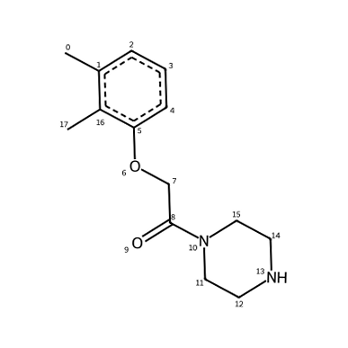 Cc1cccc(OCC(=O)N2CCNCC2)c1C